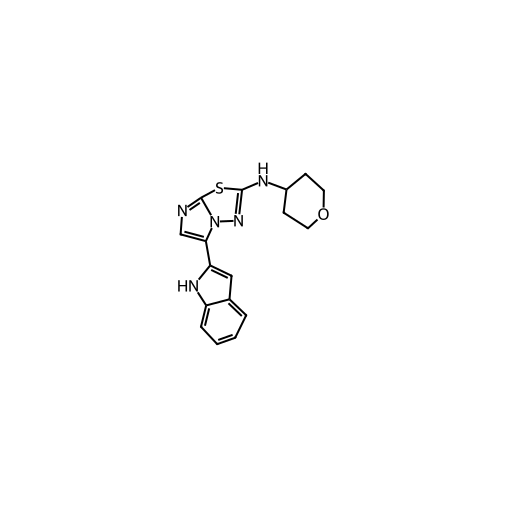 c1ccc2[nH]c(-c3cnc4sc(NC5CCOCC5)nn34)cc2c1